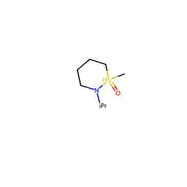 CC(C)N1CCCC[SH]1(C)=O